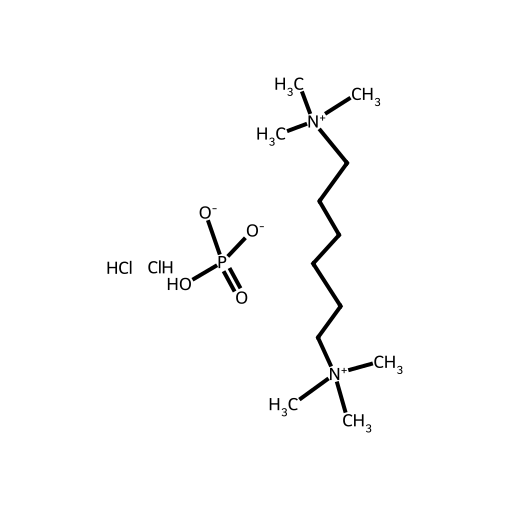 C[N+](C)(C)CCCCCC[N+](C)(C)C.Cl.Cl.O=P([O-])([O-])O